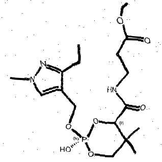 CCc1nn(C)cc1CO[P@]1(O)OCC(C)(C)[C@H](C(=O)NCCC(=O)OC)O1